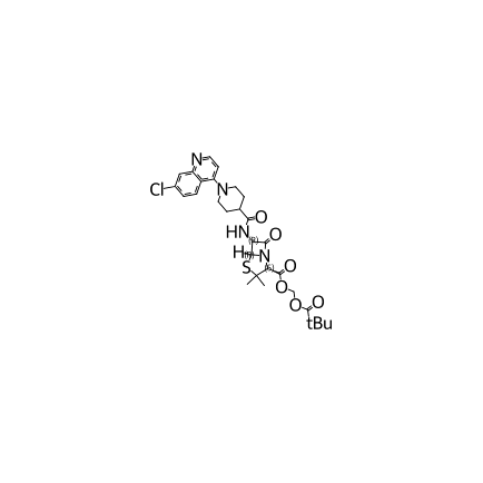 CC(C)(C)C(=O)OCOC(=O)[C@@H]1N2C(=O)[C@@H](NC(=O)C3CCN(c4ccnc5cc(Cl)ccc45)CC3)[C@H]2SC1(C)C